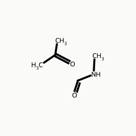 CC(C)=O.CNC=O